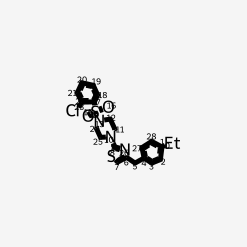 CCc1ccc(Cc2csc(N3CCN(S(=O)(=O)c4ccccc4Cl)CC3)n2)cc1